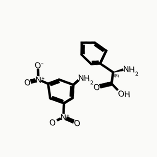 N[C@@H](C(=O)O)c1ccccc1.Nc1cc([N+](=O)[O-])cc([N+](=O)[O-])c1